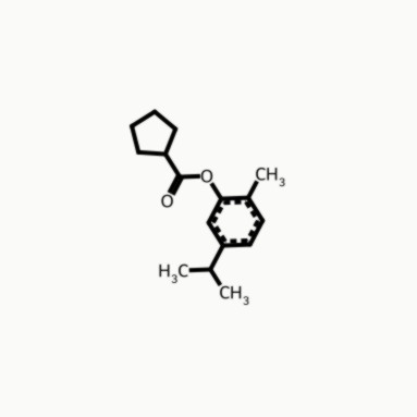 Cc1ccc(C(C)C)cc1OC(=O)C1CCCC1